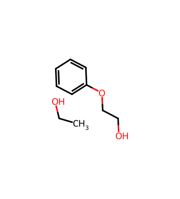 CCO.OCCOc1ccccc1